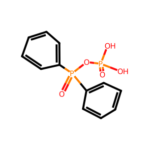 O=P(O)(O)OP(=O)(c1ccccc1)c1ccccc1